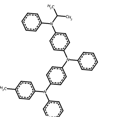 Cc1ccc(N(c2ccccc2)c2ccc(N(c3ccccc3)c3ccc(N(c4ccccc4)C(C)C)cc3)cc2)cc1